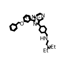 CCN(CC)CCNCC1CCC(C2=C3C=NC=C[N+]3(N)C(c3cccc(OCc4ccccc4)c3)=N2)CC1